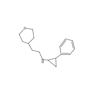 c1ccc(C2CC2NCCC2CCOCC2)cc1